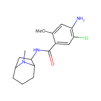 COc1cc(N)c(Cl)cc1C(=O)NC1CC2CCCC1N2C